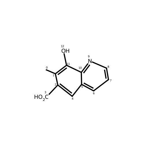 Cc1c(C(=O)O)cc2cccnc2c1O